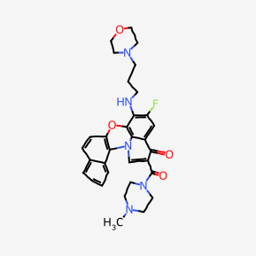 CN1CCN(C(=O)c2cn3c4c(c(NCCCN5CCOCC5)c(F)cc4c2=O)Oc2ccc4ccccc4c2-3)CC1